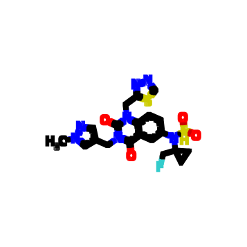 Cn1cc(Cn2c(=O)c3cc(N([SH](=O)=O)C4(CF)CC4)ccc3n(Cc3nncs3)c2=O)cn1